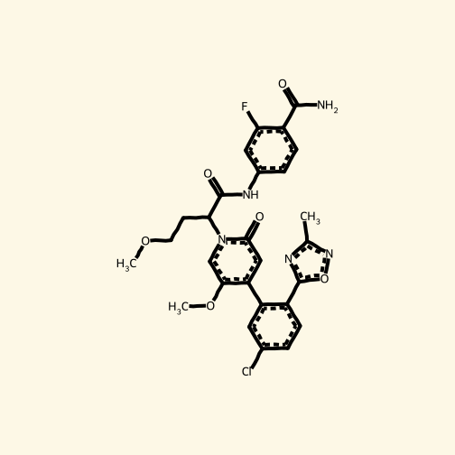 COCCC(C(=O)Nc1ccc(C(N)=O)c(F)c1)n1cc(OC)c(-c2cc(Cl)ccc2-c2nc(C)no2)cc1=O